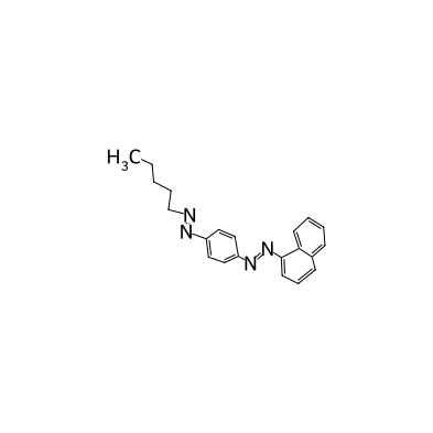 CCCCCN=Nc1ccc(N=Nc2cccc3ccccc23)cc1